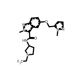 Cn1nccc1COc1ccc2nn(C)c(C(=O)NC3CCN(CC(F)(F)F)C3)c2c1